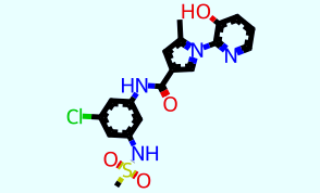 Cc1cc(C(=O)Nc2cc(Cl)cc(NS(C)(=O)=O)c2)cn1-c1ncccc1O